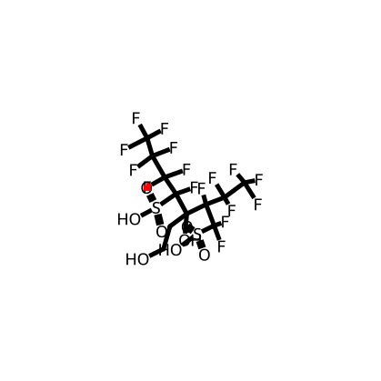 O=S(=O)(O)C(F)(F)C(F)(C(F)(F)C(F)(F)F)C(O)(CCO)C(F)(C(F)(F)C(F)(F)C(F)(F)F)S(=O)(=O)O